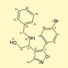 Cc1noc(-c2ccc(Br)cc2)c1C(CO)NCc1ccccc1